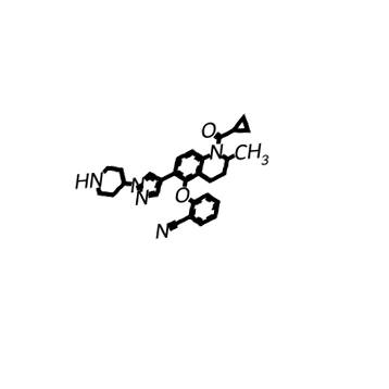 CC1CCc2c(ccc(-c3cnn(C4CCNCC4)c3)c2Oc2ccccc2C#N)N1C(=O)C1CC1